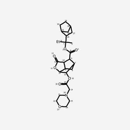 CCC(C)(OC(=O)C1C2CC3C(OC(=O)C31)C2OC(=O)CN1CCOCC1)C1CC2CCC1C2